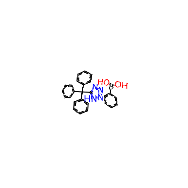 OB(O)c1ccccc1.c1ccc(C(c2ccccc2)(c2ccccc2)c2nnn[nH]2)cc1